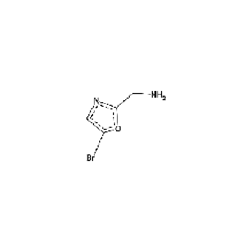 NCc1ncc(Br)o1